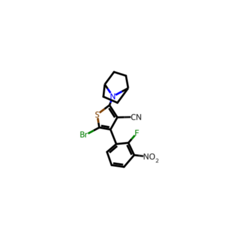 N#Cc1c(N2C3CCC2CC3)sc(Br)c1-c1cccc([N+](=O)[O-])c1F